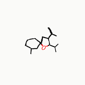 C=C(C)C1CC2(CCCC(C)C2)OC1C(C)C